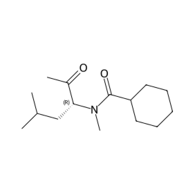 CC(=O)[C@@H](CC(C)C)N(C)C(=O)C1CCCCC1